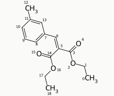 CCOC(=O)C(=Cc1cccc(C)c1)C(=O)OCC